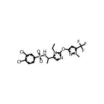 CCn1c(C(C)NS(=O)(=O)c2ccc(Cl)c(Cl)c2)cnc1Oc1cc(C(F)(F)F)n(C)n1